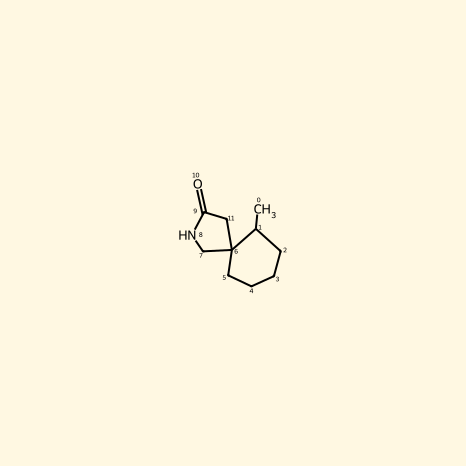 CC1CCCCC12CNC(=O)C2